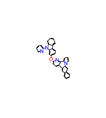 c1ccc(-n2c3ccccc3c3ccc(Oc4ccc5c6cc7ccccc7cc6n6cccc6c5n4)cc32)nc1